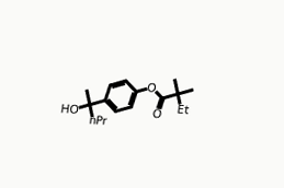 CCCC(C)(O)c1ccc(OC(=O)C(C)(C)CC)cc1